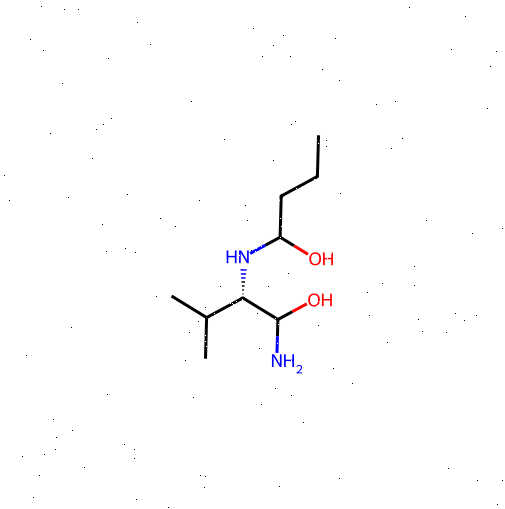 CCCC(O)N[C@@H](C(C)C)C(N)O